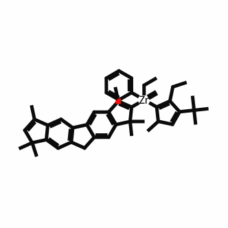 [CH2]=[Zr]([CH2]C)([C]1=C(CC)C(C(C)(C)C)=CC1C)([C]1=C(C)c2cc3c(cc2C1(C)C)Cc1cc2c(cc1-3)C(C)=CC2(C)C)[c]1ccccc1